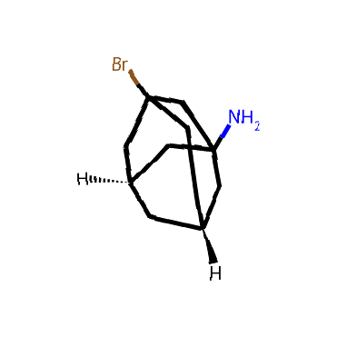 NC12C[C@H]3C[C@@H](C1)CC(Br)(C3)C2